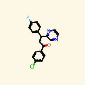 O=C(CC(c1ccc(F)cc1)c1cnccn1)c1ccc(Cl)cc1